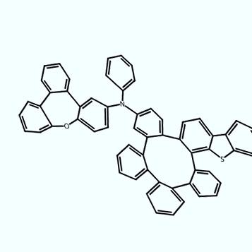 c1ccc(N(c2ccc3c(c2)-c2ccccc2-c2ccccc2O3)c2ccc3c(c2)c2ccccc2c2ccccc2c2ccccc2c2c3ccc3c4ccccc4sc32)cc1